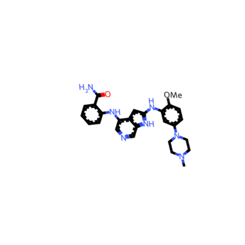 COc1ccc(N2CCN(C)CC2)cc1Nc1cc2c(Nc3ccccc3C(N)=O)cncc2[nH]1